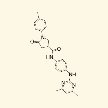 Cc1ccc(N2CC(C(=O)Nc3ccc(Nc4nc(C)cc(C)n4)cc3)CC2=O)cc1